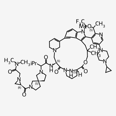 CO[C@@H](C)c1ncc(N2CCN(C3CC3)CC2)cc1-c1c2c3cc(ccc3n1CC(F)(F)F)C1=CCCN(C1)C[C@H](NC(=O)C(C(C)C)N1CC[C@]3(CCN(C(=O)[C@H]4CN4CC(=O)N(C)C)C3)C1)C(=O)N1CCC[C@H](N1)C(=O)OCC(C)(C)C2